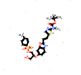 Cc1ccc(S(=O)(=O)OCC(CO)Oc2ccc3nc(/C=C/c4cnc(N(C)C(=O)OC(C)(C)C)s4)oc3c2)cc1